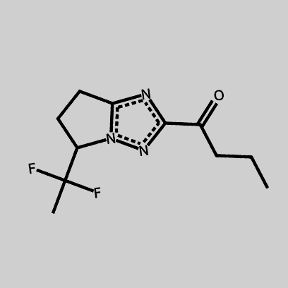 CCCC(=O)c1nc2n(n1)C(C(C)(F)F)CC2